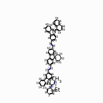 C/C=C\C(=C1\C=CC=C[C@@H]1CC)n1c2ccccc2c2cc(/C=C/c3ccc4c(c3)C3(CCCCC3)c3cc(/C=C/c5ccc6c(c5)c5ccccc5n6-c5cccc6ccccc56)ccc3-4)ccc21